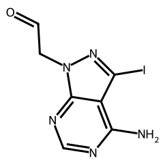 Nc1ncnc2c1c(I)nn2CC=O